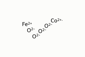 [Co+2].[Fe+2].[O-2].[O-2].[O-2].[O-2]